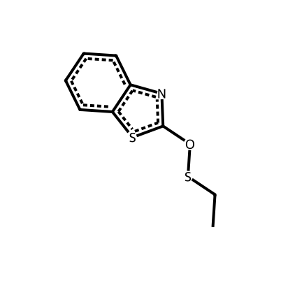 CCSOc1nc2ccccc2s1